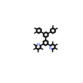 Cc1ccc(-c2cc(-c3cc(-c4nc(C)c(C)c(C)c4C)cc(-c4nc(C)c(C)c(C)c4C)c3)cc(-c3ccc(C)c(C)c3)c2)cc1C